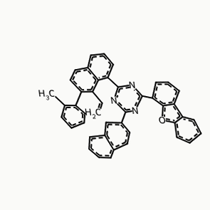 C=Cc1c(-c2ccccc2C)ccc2cccc(-c3nc(-c4ccc5ccccc5c4)nc(-c4cccc5c4oc4ccccc45)n3)c12